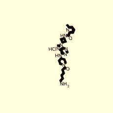 Cc1cccc(C(=O)NC2CC(n3cnc4c(NC5CCN(C(=O)CCCCCN)CC5)ncnc43)C2)n1.Cl